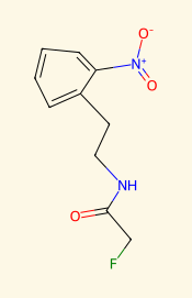 O=C(CF)NCCc1ccccc1[N+](=O)[O-]